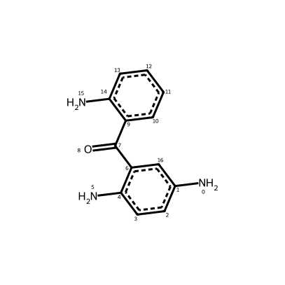 Nc1ccc(N)c(C(=O)c2ccccc2N)c1